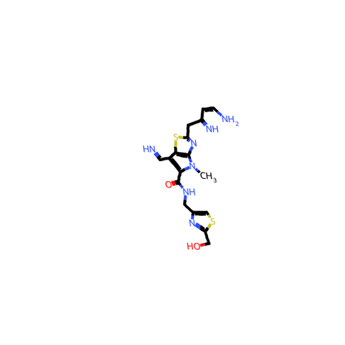 Cn1c(C(=O)NCc2csc(CO)n2)c(C=N)c2sc(CC(=N)/C=C\N)nc21